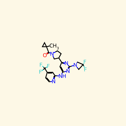 CC1(C(=O)N2CCC(c3cc(Nc4cc(C(F)(F)F)ccn4)nc(N4CC(F)(F)C4)n3)C2)CC1